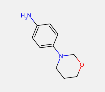 Nc1ccc(N2CCCOC2)cc1